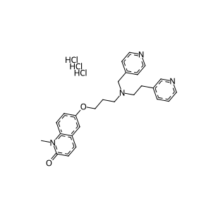 Cl.Cl.Cl.Cn1c(=O)ccc2cc(OCCCN(CCc3cccnc3)Cc3ccncc3)ccc21